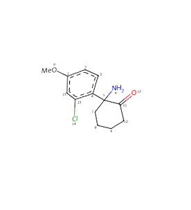 COc1ccc(C2(N)CCCCC2=O)c(Cl)c1